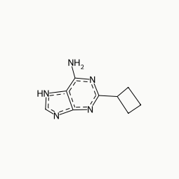 Nc1nc(C2CCC2)nc2nc[nH]c12